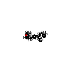 COC(=O)c1c(Cc2ccc(C(=O)N[C@@H]3[C@@H]4C[C@H]5C[C@H]3C[C@](O)(C5)C4)cc2)c(=O)c2cccnc2n1-c1ccccc1